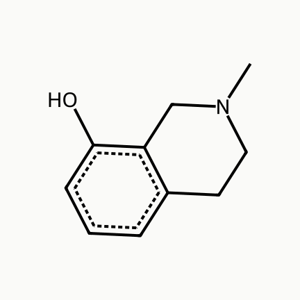 CN1CCc2cccc(O)c2C1